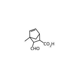 CC12C=CC(C1)C(C(=O)O)C2C=O